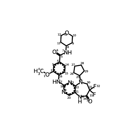 COc1cc(C(=O)NC2CCOCC2)ccc1Nc1ncc2c(n1)N(C1CCCC1)CC(F)(F)C(=O)N2